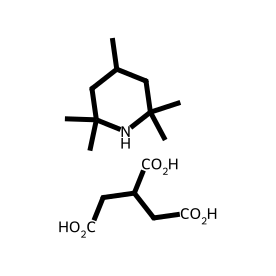 CC1CC(C)(C)NC(C)(C)C1.O=C(O)CC(CC(=O)O)C(=O)O